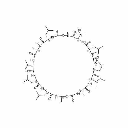 CC[C@H](C)[C@@H]1NC(=O)[C@H](C)NC(=O)C[C@@H](C)NC(=O)[C@H](CC(C)C)NC(=O)[C@H](CC(C)C)NC(=O)[C@H](C(C)C)NC(=O)[C@H](C)N(C)C(=O)[C@H](CC(C)C)NC(=O)CNC(=O)[C@H]([C@@H](C)O)NC(=O)[C@H](CC(C)C)N(C)C(=O)[C@@H]2CCCN2C1=O